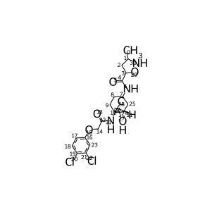 CC1CC(C(=O)NC23CCC(NC(=O)COc4ccc(Cl)c(Cl)c4)(CC2)[C@@H](O)C3)ON1